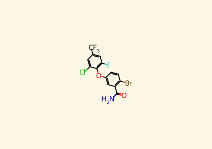 NC(=O)c1cc(Oc2c(F)cc(C(F)(F)F)cc2Cl)ccc1Br